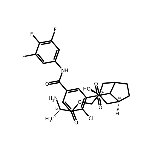 C[C@H](N)C(=O)OC[C@]1(O)CC2CC[C@@H](C1)C2S(=O)(=O)c1cc(C(=O)Nc2cc(F)c(F)c(F)c2)ccc1Cl